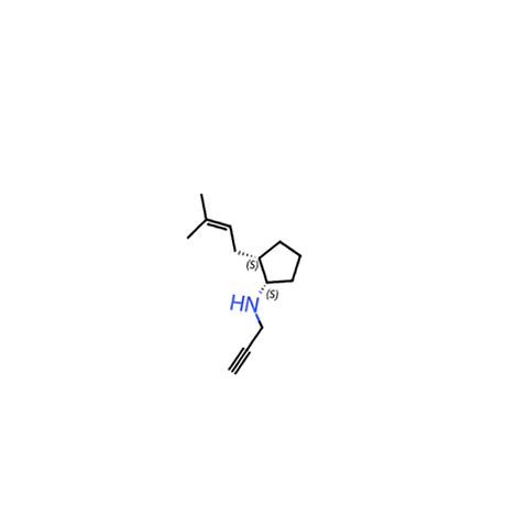 C#CCN[C@H]1CCC[C@H]1CC=C(C)C